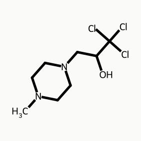 CN1CCN(CC(O)C(Cl)(Cl)Cl)CC1